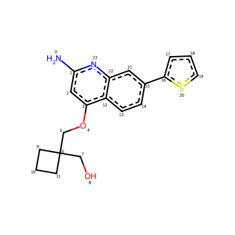 Nc1cc(OCC2(CO)CCC2)c2ccc(-c3cccs3)cc2n1